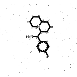 NC(c1ccc(F)cc1)C1CCCC2CCCCN21